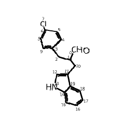 O=CC(Cc1ccc(Cl)cc1)Cc1c[nH]c2ccccc12